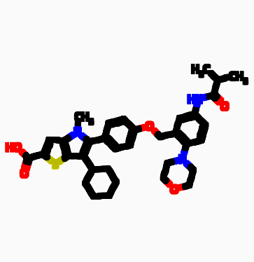 CC(C)C(=O)Nc1ccc(N2CCOCC2)c(COc2ccc(-c3c(C4CCCCC4)c4sc(C(=O)O)cc4n3C)cc2)c1